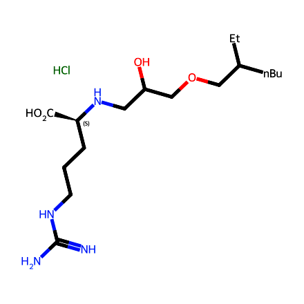 CCCCC(CC)COCC(O)CN[C@@H](CCCNC(=N)N)C(=O)O.Cl